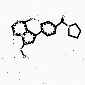 COc1cc(-c2ccc(C(=O)N3CCCC3)cc2)c2c(N)ncnn12